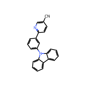 N#Cc1ccc(-c2cccc(-n3c4ccccc4c4ccccc43)c2)nc1